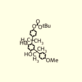 COc1ccc(C(C)(C)c2cc(C(C)(C)c3ccc(OC(=O)OC(C)(C)C)cc3)c(O)cc2O)cc1